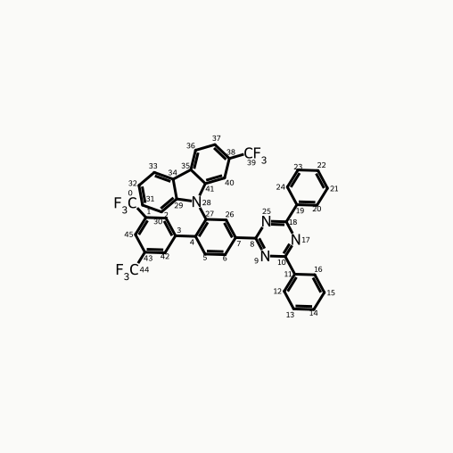 FC(F)(F)c1cc(-c2ccc(-c3nc(-c4ccccc4)nc(-c4ccccc4)n3)cc2-n2c3ccccc3c3ccc(C(F)(F)F)cc32)cc(C(F)(F)F)c1